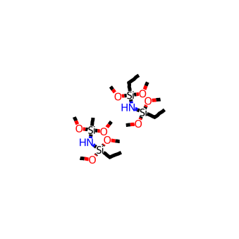 CC[Si](N[Si](C)(OC)OC)(OC)OC.CC[Si](N[Si](CC)(OC)OC)(OC)OC